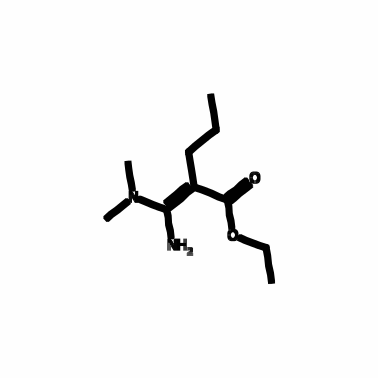 CCCC(C(=O)OCC)=C(N)N(C)C